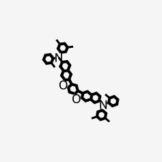 Cc1cc(C)cc(N(c2ccc3cc4c(cc3c2)oc2cc3oc5cc6cc(N(c7cc(C)cc(C)c7)c7ccccc7C)ccc6cc5c3cc24)c2ccccc2C)c1